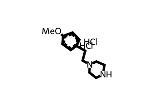 COc1ccc(CCN2CCNCC2)cc1.Cl.Cl